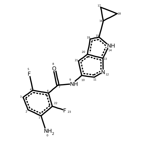 Nc1ccc(F)c(C(=O)Nc2cnc3[nH]c(C4CC4)cc3c2)c1F